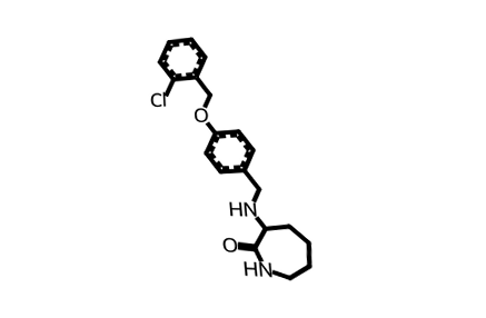 O=C1NCCCCC1NCc1ccc(OCc2ccccc2Cl)cc1